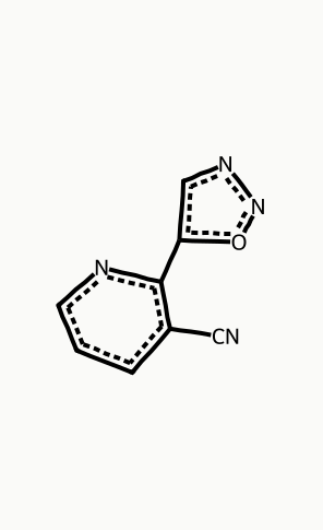 N#Cc1cccnc1-c1cnno1